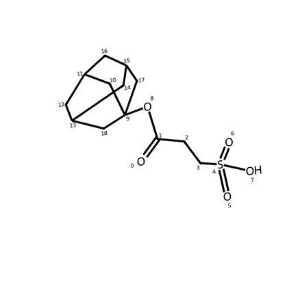 O=C(CCS(=O)(=O)O)OC12CC3CC(CC(C3)C1)C2